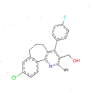 CC(C)c1nc2c(c(-c3ccc(F)cc3)c1CO)CCCc1cc(Cl)ccc1-2